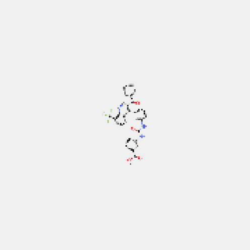 COC(=O)c1cccc(NC(=O)Nc2cccc(-c3c(C(=O)c4ccccc4)cnc4c(C(F)(F)F)cccc34)c2)c1